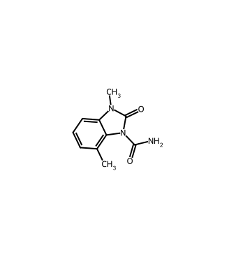 Cc1cccc2c1n(C(N)=O)c(=O)n2C